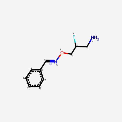 NCC(F)CO/N=C/c1ccccc1